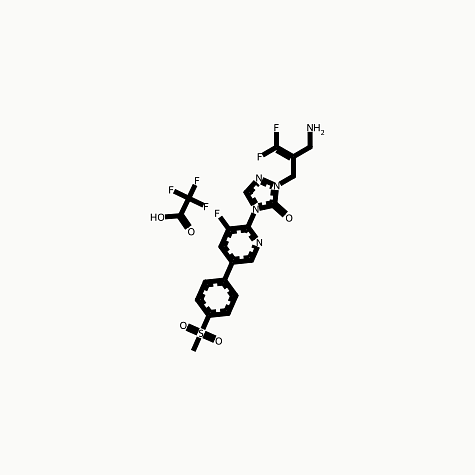 CS(=O)(=O)c1ccc(-c2cnc(-n3cnn(CC(CN)=C(F)F)c3=O)c(F)c2)cc1.O=C(O)C(F)(F)F